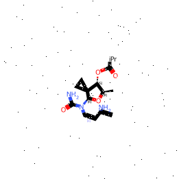 C=C(N)/C=C\N(C(N)=O)[C@@H]1O[C@H](C)[C@@H](OC(=O)C(C)C)C12CC2